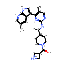 C[C@@H](Nc1ncc(C#N)c(-c2c[nH]c3ncc(C(F)(F)F)cc23)n1)C1CCN(C(=O)C2CNC2)CC1